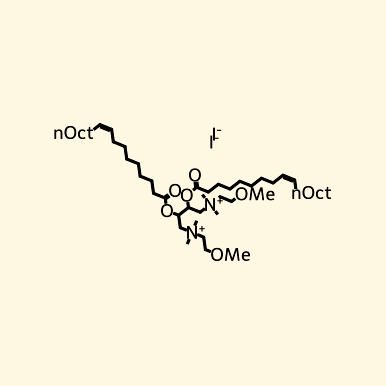 CCCCCCCC/C=C\CCCCCCCC(=O)OC(C[N+](C)(C)CCOC)C(C[N+](C)(C)CCOC)OC(=O)CCCCCCC/C=C\CCCCCCCC.[I-].[I-]